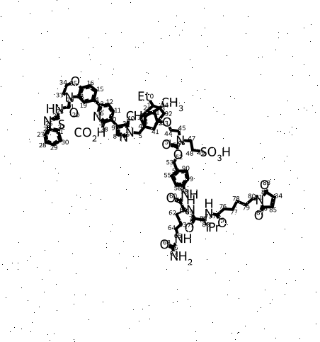 CCC1C2CC3(Cn4ncc(-c5ccc(-c6ccc7c(c6)N(C(=O)Nc6nc8ccccc8s6)CCO7)nc5C(=O)O)c4C)CC(OCCN(CCS(=O)(=O)O)C(=O)OCc4ccc(NC(=O)[C@H](CCCNC(N)=O)NC(=O)[C@@H](NC(=O)CCCCCN5C(=O)C=CC5=O)C(C)C)cc4)(C2)CC1(C)C3